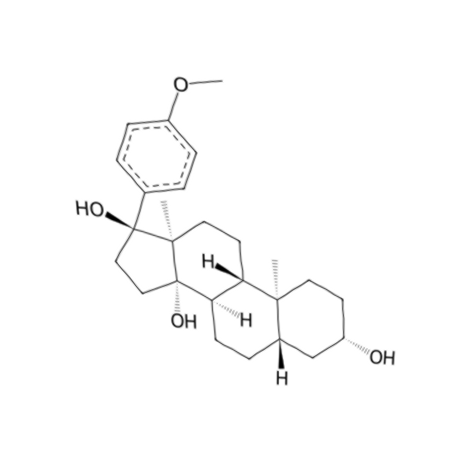 COc1ccc([C@@]2(O)CC[C@]3(O)[C@@H]4CC[C@H]5C[C@@H](O)CC[C@]5(C)[C@H]4CC[C@]23C)cc1